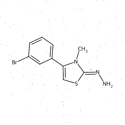 Cn1c(-c2cccc(Br)c2)cs/c1=N\N